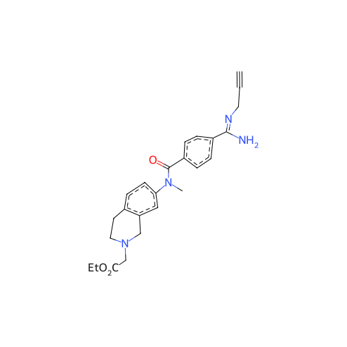 C#CCN=C(N)c1ccc(C(=O)N(C)c2ccc3c(c2)CN(CC(=O)OCC)CC3)cc1